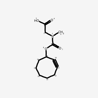 CN(CC(=O)O)C(=O)OC1C#CCCCCC1